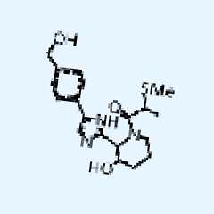 CSC(C)C(=O)N1CCCC(O)C1c1ncc(-c2ccc(CO)cc2)[nH]1